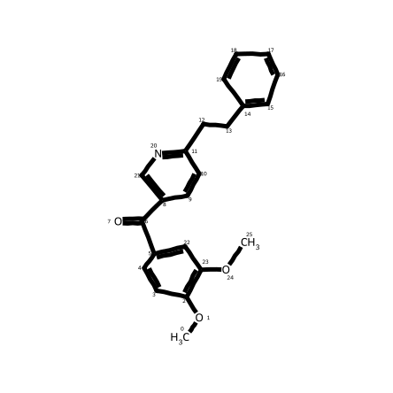 COc1ccc(C(=O)c2ccc(CCc3ccccc3)nc2)cc1OC